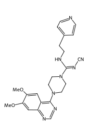 COc1cc2ncnc(N3CCN(/C(=N/C#N)NCCc4ccncc4)CC3)c2cc1OC